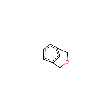 c1cc2cc(c1)COC2